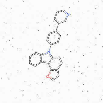 c1cncc(-c2ccc(-n3c4ccccc4c4c5occc5ccc43)cc2)c1